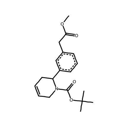 COC(=O)Cc1cccc(C2CC=CCN2C(=O)OC(C)(C)C)c1